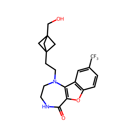 O=C1NCCN(CCC23CC(CO)(C2)C3)c2c1oc1ccc(C(F)(F)F)cc21